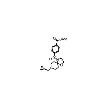 COC(=O)c1ccc([S+]([O-])N2CCOC23CCN(CC2CC2)CC3)cc1